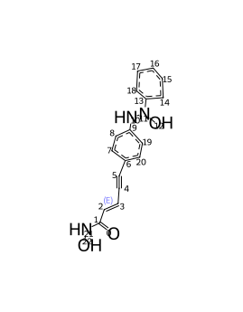 O=C(/C=C/C#Cc1ccc(NN(O)c2ccccc2)cc1)NO